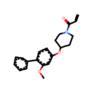 C=CC(=O)N1CCC(Oc2ccc(-c3ccccc3)c(OC)c2)CC1